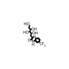 O=c1[nH]c2cc(C(F)(F)F)ccc2nc1C[C@@H](O)[C@@H](O)C(O)CCO